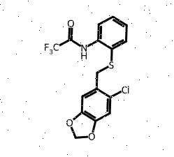 O=C(Nc1ccccc1SCc1cc2c(cc1Cl)OCO2)C(F)(F)F